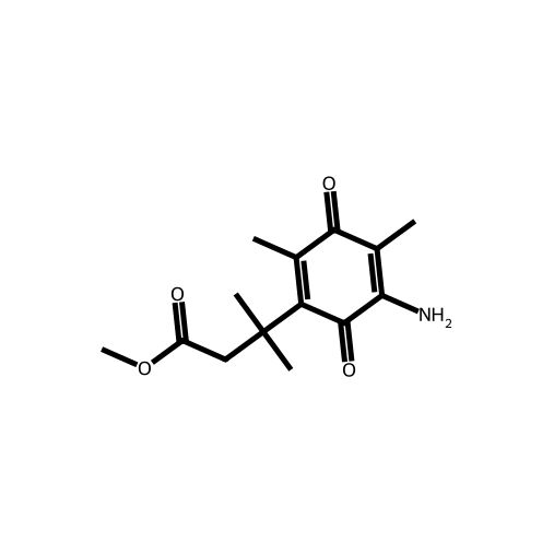 COC(=O)CC(C)(C)C1=C(C)C(=O)C(C)=C(N)C1=O